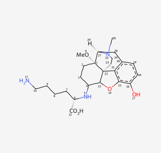 CO[C@@]12CCC(N[C@@H](CCCCN)C(=O)O)C3Oc4c(O)ccc5c4[C@@]31CCN(C)[C@@H]2C5